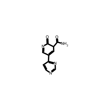 NC(=O)C1C=C(c2ccncn2)C=NC1=O